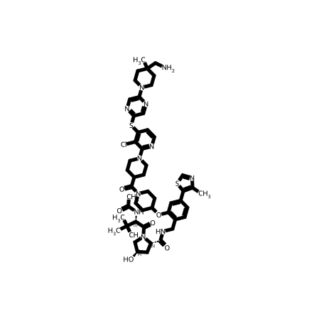 CC(=O)N[C@H](C(=O)N1C[C@H](O)C[C@H]1C(=O)NCc1ccc(-c2scnc2C)cc1OC1CCN(C(=O)C2CCN(c3nccc(Sc4cnc(N5CCC(C)(CN)CC5)cn4)c3Cl)CC2)CC1)C(C)(C)C